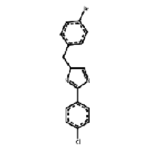 Clc1ccc(C2=NC(Cc3ccc(Br)cc3)C=N2)cc1